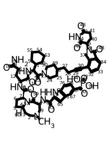 CN1CC[C@H]2CC[C@@H](C(=O)NC(CCC(N)=O)C(=O)NC(C(=O)N3CCC(CCC#Cc4cccc5c4CN(C4CCC(=O)NC4=O)C5=O)CC3)C3CCCCC3)N2C(=O)[C@@H](NC(=O)c2cc3cc(C(=O)P(=O)(O)O)ccc3[nH]2)C1